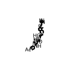 CC(=O)N1CCC(Nc2cc(C(=O)NCC(O)CN3CCc4c(ccc(OCc5cnnn5C)c4C)C3)ncn2)CC1